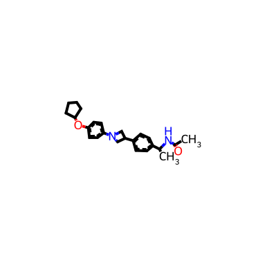 CC(=O)NC(C)c1ccc(C2CN(c3ccc(OC4CCCC4)cc3)C2)cc1